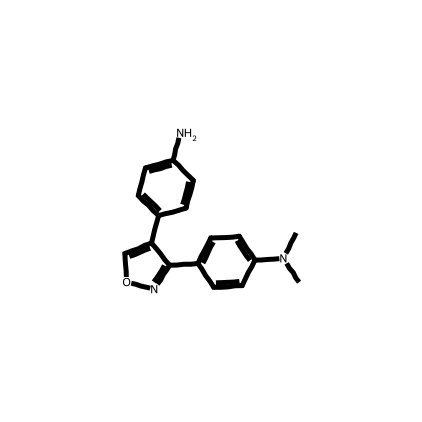 CN(C)c1ccc(-c2nocc2-c2ccc(N)cc2)cc1